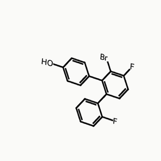 Oc1ccc(-c2c(-c3ccccc3F)ccc(F)c2Br)cc1